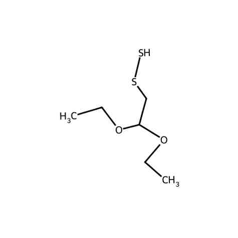 CCOC(CSS)OCC